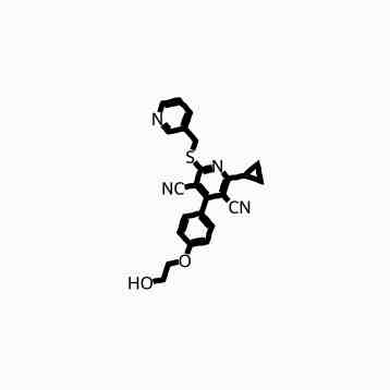 N#Cc1c(SCc2cccnc2)nc(C2CC2)c(C#N)c1-c1ccc(OCCO)cc1